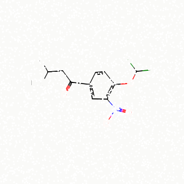 CC(C)CC(=O)c1ccc(OC(F)F)c([N+](=O)[O-])c1